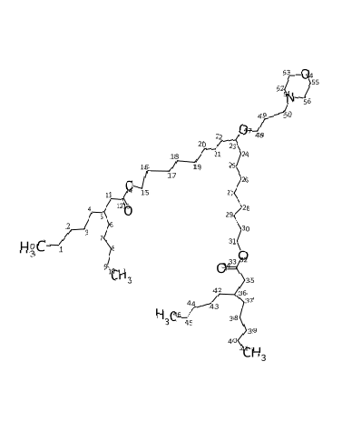 CCCCCC(CCCCC)CC(=O)OCCCCCCCCC(CCCCCCCCOC(=O)CC(CCCCC)CCCCC)OCCCN1CCOCC1